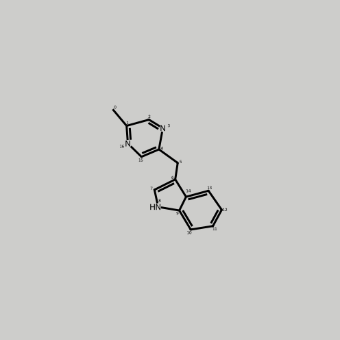 Cc1cnc(Cc2c[nH]c3ccccc23)cn1